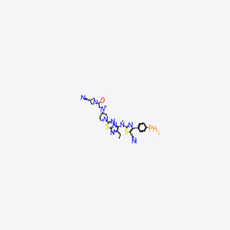 CCc1nc2sc(N3CC[C@H](N(C)CC(=O)N4CC(C#N)C4)C3)nn2c1N(C)c1nc(-c2ccc(P)cc2)c(C#N)s1